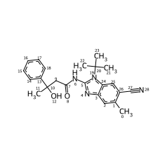 Cc1cc2nc(NC(=O)CC(C)(O)c3ccccc3)n(C(C)(C)C)c2cc1C#N